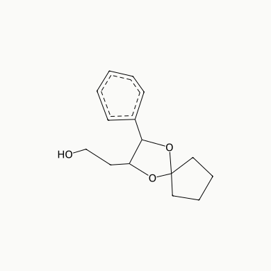 OCCC1OC2(CCCC2)OC1c1ccccc1